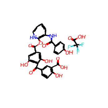 O=C(NC1=C(OC(=O)c2cc(O)c(C(=O)c3ccc(O)c(C(=O)O)c3)c(O)c2)NC=CC=C1)c1ccc(O)cc1.O=C(O)C(F)(F)F